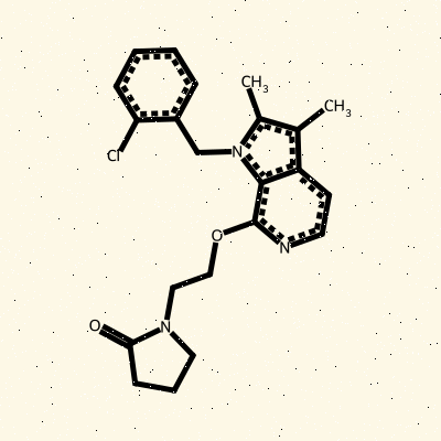 Cc1c(C)n(Cc2ccccc2Cl)c2c(OCCN3CCCC3=O)nccc12